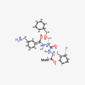 CNC(=O)[C@@H](Cc1ccccc1F)N(C)C(=O)[C@@H](COCc1ccccc1)N(C)C(=O)c1cccc(CN)c1